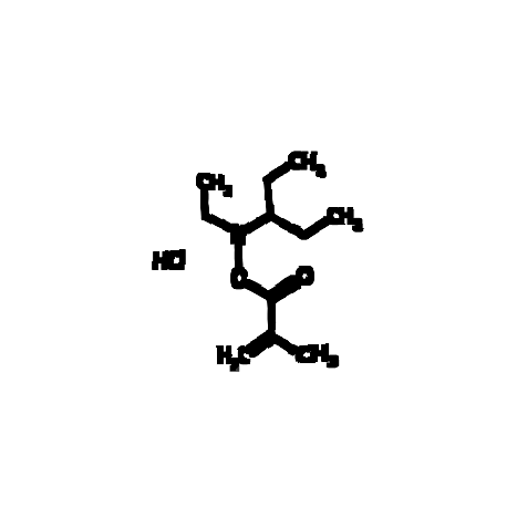 C=C(C)C(=O)ON(CC)C(CC)CC.Cl